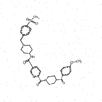 COc1ccc(C(=O)C2CCN(C(=O)c3ccc(C(=O)NC4CCN(Cc5ccc(S(C)(=O)=O)cc5)CC4)cn3)CC2)cc1